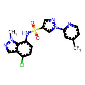 Cn1ncc2c(Cl)ccc(NS(=O)(=O)c3cnn(-c4cc(C(F)(F)F)ccn4)c3)c21